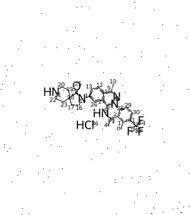 Cc1c([C@@H](C)Nc2nnc(C)c3ccc(N4CCC5(CCNCC5)C4=O)cc23)cccc1C(F)(F)F.Cl